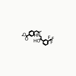 COC(=O)c1ccc(C[C@@H](C)NC[C@H](O)c2cccc(C(F)(F)F)c2)cc1